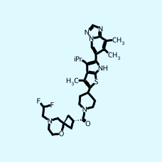 Cc1c(-c2[nH]c3sc(C4CCN(C(=O)[C@H]5C[C@@]6(CN(CC(F)F)CCO6)C5)CC4)c(C)c3c2C(C)C)cn2ncnc2c1C